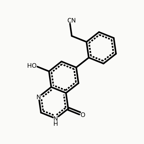 N#CCc1ccccc1-c1cc(O)c2nc[nH]c(=O)c2c1